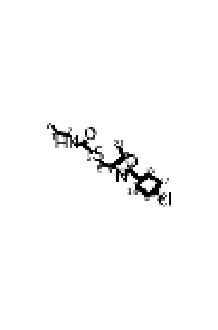 CCCNC(=O)CSCc1nc(-c2ccc(Cl)cc2)oc1C